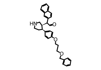 O=CC(c1ccc2ccccc2c1)[C@@H]1CNCC[C@@H]1c1ccc(OCCCOCc2ccccc2)cc1